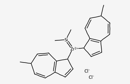 CC1C=CC2=C(C=C1)[CH]([Zr+2]([CH]1C=CC3=C1C=CC(C)C=C3)=[Si](C)C)C=C2.[Cl-].[Cl-]